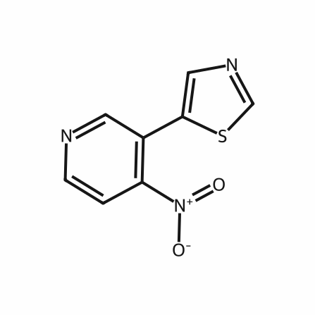 O=[N+]([O-])c1ccncc1-c1cncs1